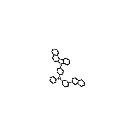 c1ccc(N(c2ccc(-n3c4ccccc4c4c5ccccc5ccc43)cc2)c2cccc(-c3ccc4ccccc4c3)c2)cc1